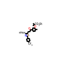 CCCCCCc1nc(-c2ccc(C(F)(F)F)cc2)sc1CCC(=O)c1ccc(C)c(OC(C)(C)C(=O)OCC)c1